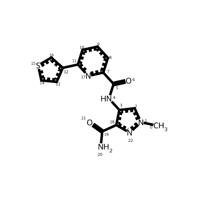 Cn1cc(NC(=O)c2cccc(-c3ccsc3)n2)c(C(N)=O)n1